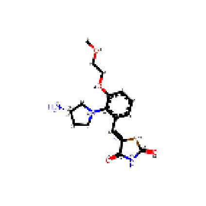 COCCOc1cccc(/C=C2\SC(=O)NC2=O)c1N1CC[C@H](N)C1